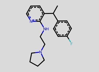 CC(c1ccc(F)cc1)c1cccnc1NCCN1CCCC1